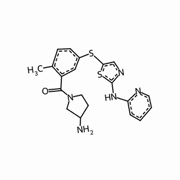 Cc1ccc(Sc2cnc(Nc3ccccn3)s2)cc1C(=O)N1CCC(N)C1